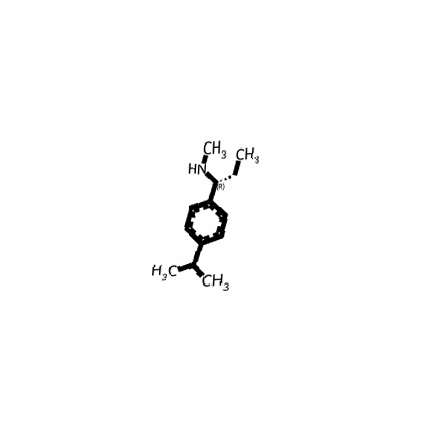 CC[C@@H](NC)c1ccc(C(C)C)cc1